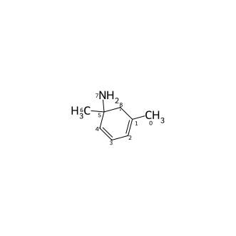 CC1=CC=CC(C)(N)[CH]1